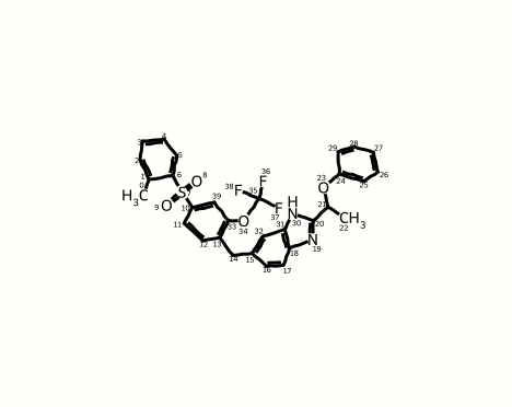 Cc1ccccc1S(=O)(=O)c1ccc(Cc2ccc3nc(C(C)Oc4ccccc4)[nH]c3c2)c(OC(F)(F)F)c1